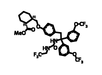 COC(=O)[C@@H]1CCCC[C@H]1COc1ccc(CC(NC(=O)NCC(F)(F)F)(c2cccc(OC(F)(F)F)c2)c2cccc(OC(F)(F)F)c2)cc1